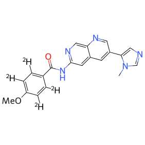 [2H]c1c([2H])c(C(=O)Nc2cc3cc(-c4cncn4C)cnc3cn2)c([2H])c([2H])c1OC